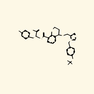 NC(=O)[C@H](Cc1ccc(Cl)cc1)NC(=O)c1cccc2c1OCCC2NCc1cncn1Cc1ccc(OC(F)(F)F)cc1